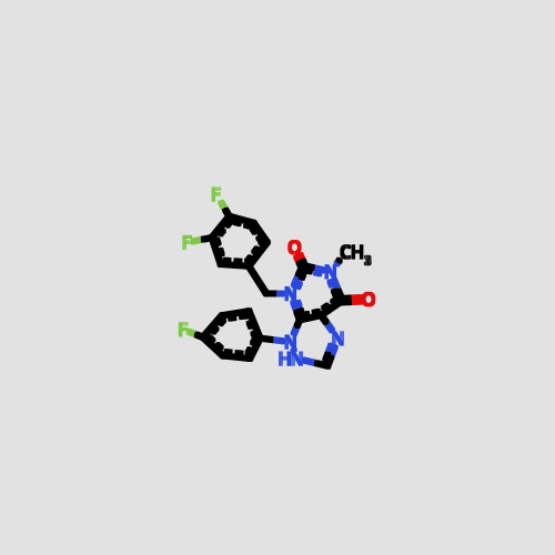 Cn1c(=O)c2c(n(Cc3ccc(F)c(F)c3)c1=O)N(c1ccc(F)cc1)NC=N2